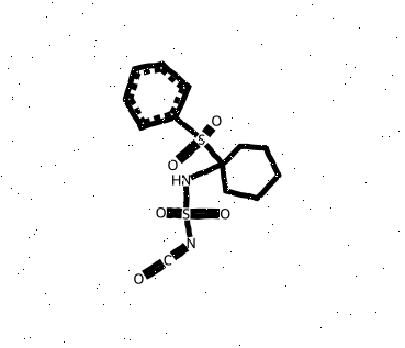 O=C=NS(=O)(=O)NC1(S(=O)(=O)c2ccccc2)CCCCC1